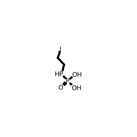 O=P(O)(O)PCCI